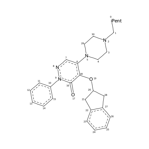 CCCC(C)CN1CCN(c2cnn(-c3ccccc3)c(=O)c2OC2Cc3ccccc3C2)CC1